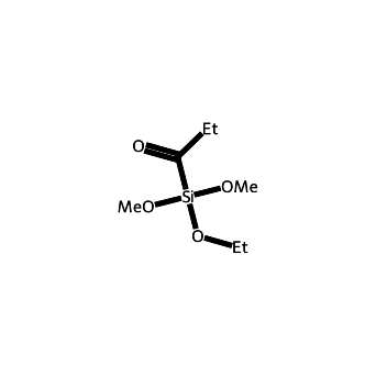 CCO[Si](OC)(OC)C(=O)CC